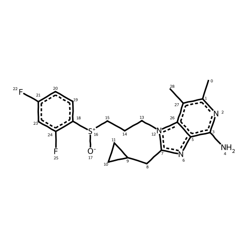 Cc1nc(N)c2nc(CC3CC3)n(CCC[S+]([O-])c3ccc(F)cc3F)c2c1C